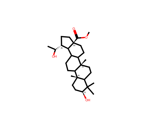 COC(=O)[C@@]12CCC3C(CCC4[C@@]3(C)CCC3C(C)(C)[C@@H](O)CC[C@@]34C)C1[C@H](C(C)O)CC2